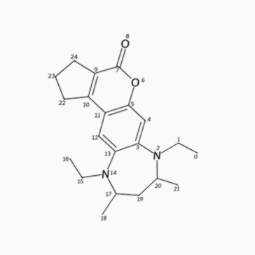 CCN1c2cc3oc(=O)c4c(c3cc2N(CC)C(C)CC1C)CCC4